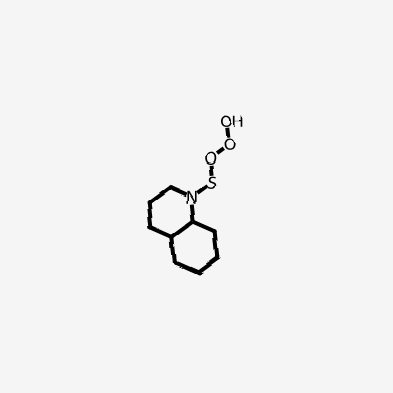 OOOSN1CCCC2CCCCC21